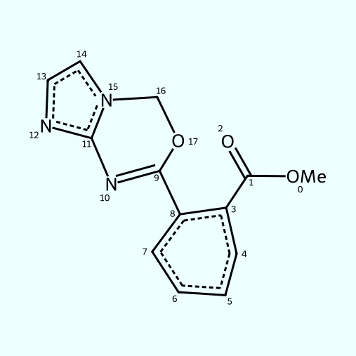 COC(=O)c1ccccc1C1=Nc2nccn2CO1